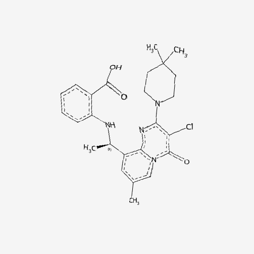 Cc1cc([C@@H](C)Nc2ccccc2C(=O)O)c2nc(N3CCC(C)(C)CC3)c(Cl)c(=O)n2c1